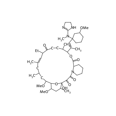 CCC1/C=C(\C)CC(C)CC(OC)C2OC(O)(C(=O)C(=O)N3CCCCC3C(=O)OC(C(C)=CC3(N(C)C4=NCCN4)CCCC(OC)C3)C(C)CCC1=O)C(C)CC2OC